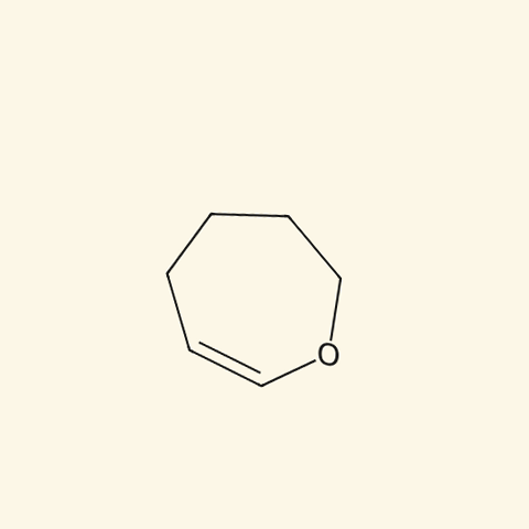 C1=COCCCC1